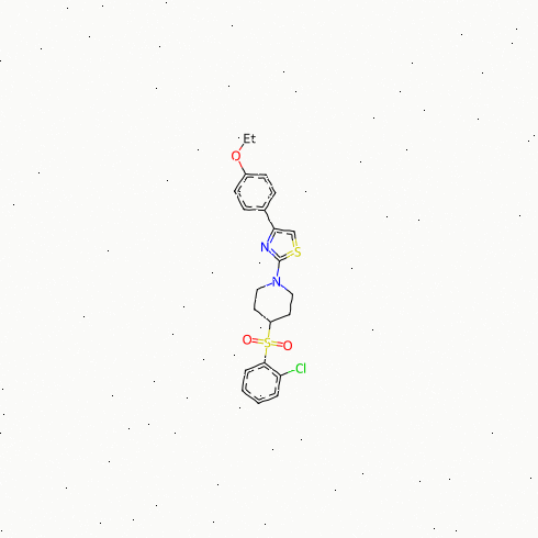 CCOc1ccc(-c2csc(N3CCC(S(=O)(=O)c4ccccc4Cl)CC3)n2)cc1